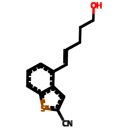 N#Cc1cc2c(C=CCCCO)cccc2s1